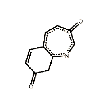 O=C1C=Cc2ccc(=O)cnc2C1